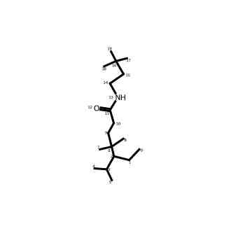 CCC(C(C)C)C(C)(C)CCC(=O)NCCC(C)(C)C